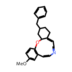 COc1ccc2c(c1)C=CN=CC=C1CCC(Cc3ccccc3)CC1O2